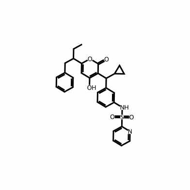 CCC(Cc1ccccc1)c1cc(O)c(C(c2cccc(NS(=O)(=O)c3ccccn3)c2)C2CC2)c(=O)o1